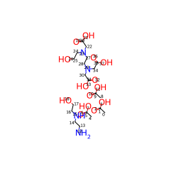 CC(=O)O.CC(=O)O.CC(=O)O.NCCNCCO.O=C(O)CN(CCO)CCN(CC(=O)O)CC(=O)O